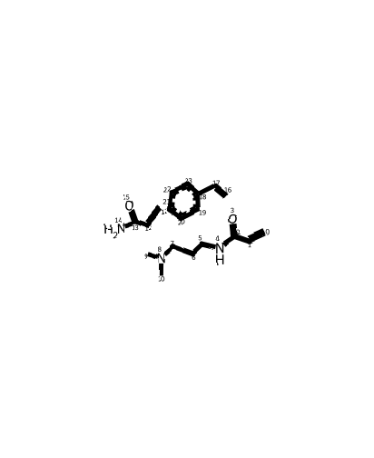 C=CC(=O)NCCCN(C)C.C=CC(N)=O.C=Cc1ccccc1